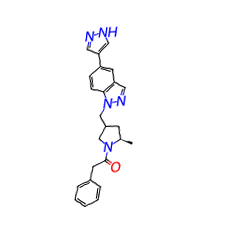 C[C@@H]1CC(Cn2ncc3cc(-c4cn[nH]c4)ccc32)CN1C(=O)Cc1ccccc1